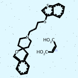 C1=c2ccccc2=CC2(CCN(CCCSc3csc4ccccc34)CC2)O1.O=C(O)/C=C\C(=O)O